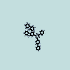 c1ccc(-c2ccc(-c3nc(-c4ccccc4)nc(-c4ccc5c(c4)sc4cccc(-n6c7ccccc7c7ccccc76)c45)n3)cc2)cc1